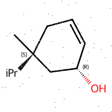 CC(C)[C@@]1(C)CC=C[C@H](O)C1